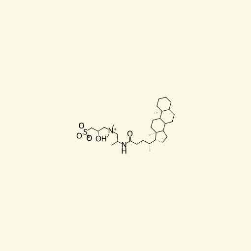 CC(C[N+](C)(C)CC(O)CS(=O)(=O)[O-])NC(=O)CC[C@@H](C)[C@H]1CCC2C3CCC4CCCC[C@]4(C)C3CC[C@@]21C